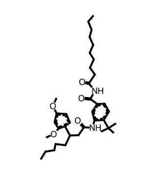 CCCCCCCCCC(=O)NC(=O)c1ccc(C(C)(C)C)c(NC(=O)CC(CCCCC)c2ccc(OC)cc2OC)c1